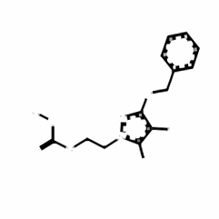 CCc1c(OCc2ccccc2)nn(CCNC(=O)OC(C)(C)C)c1C(=O)O